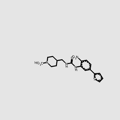 O=C(NCC1CCN(C(=O)O)CC1)Nc1cc(-c2cccs2)ccc1[N+](=O)[O-]